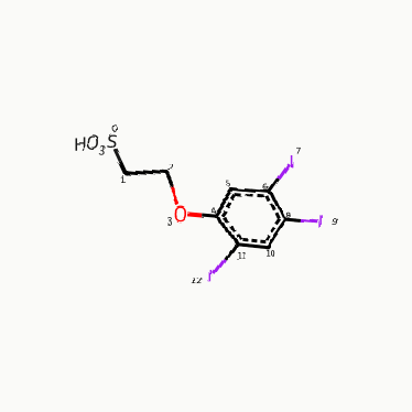 O=S(=O)(O)CCOc1cc(I)c(I)cc1I